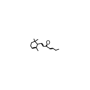 CCC=CC(=O)C=CC1C(C)=CCCC1(C)C